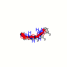 COc1cc2c(cc1OCCCC(=O)Nc1cc(C(=O)Nc3ccc(-c4cc(C(=O)Nc5ccc(NC(=O)[C@H](C)NC(=O)[C@@H](N)C(C)C)cc5)n(C)c4)cc3)n(C)c1)NC[C@@H]1CCCCN1C2=O